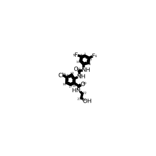 O=C(Nc1cc(F)cc(F)c1)Nc1cc(Cl)ccc1C(=O)NCCO